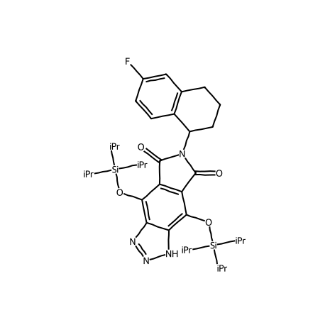 CC(C)[Si](Oc1c2c(c(O[Si](C(C)C)(C(C)C)C(C)C)c3[nH]nnc13)C(=O)N(C1CCCc3cc(F)ccc31)C2=O)(C(C)C)C(C)C